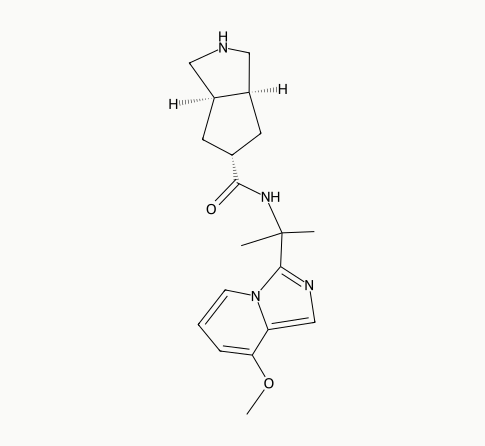 COc1cccn2c(C(C)(C)NC(=O)[C@@H]3C[C@H]4CNC[C@H]4C3)ncc12